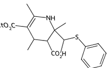 CCOC(=O)C1=C(C)NC(C)(C(C)Sc2ccccc2)C(C(=O)O)C1C